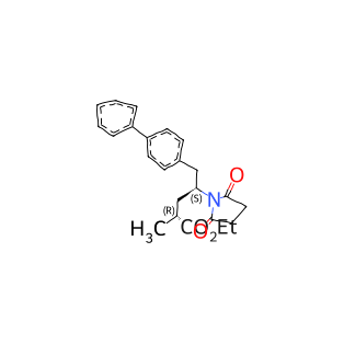 CCOC(=O)[C@H](C)C[C@@H](Cc1ccc(-c2ccccc2)cc1)N1C(=O)CCC1=O